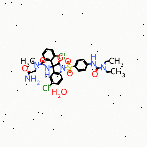 CCN(CC)C(=O)Nc1ccc(S(=O)(=O)N2C(=O)C(NC(=O)N(C)CC(N)=O)(c3ccccc3Cl)c3cc(Cl)ccc32)cc1.O